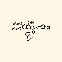 COc1cc2c(O)c3c(c(-c4ccc5c(c4)OCO5)c2cc1OC)C(=O)N(N=Cc1ccc(Cl)cc1)C3